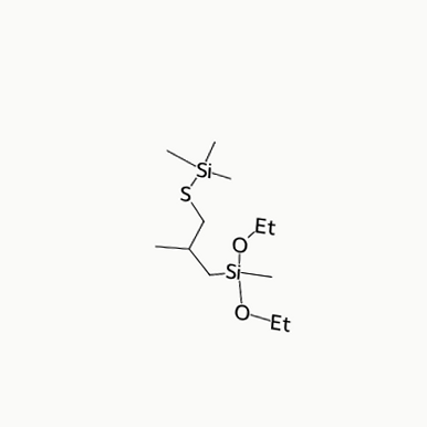 CCO[Si](C)(CC(C)CS[Si](C)(C)C)OCC